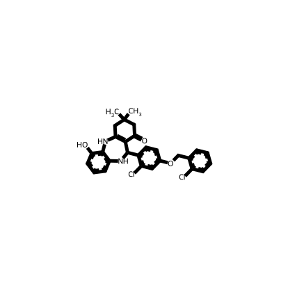 CC1(C)CC(=O)C2=C(C1)Nc1c(O)cccc1NC2c1ccc(OCc2ccccc2Cl)cc1Cl